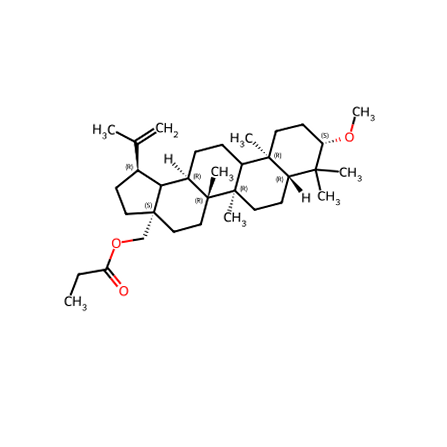 C=C(C)[C@@H]1CC[C@]2(COC(=O)CC)CC[C@]3(C)[C@H](CCC4[C@@]5(C)CC[C@H](OC)C(C)(C)[C@@H]5CC[C@]43C)C12